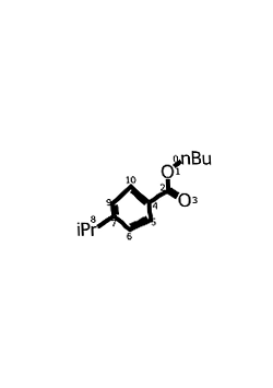 CCCCOC(=O)c1ccc(C(C)C)cc1